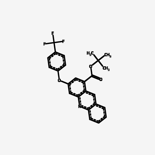 CC(C)(C)OC(=O)c1cc(Oc2ccc(C(F)(F)F)cc2)cc2nc3ccccc3cc12